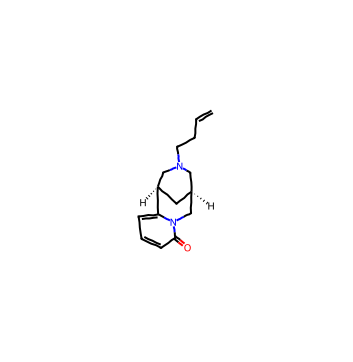 C=CCCN1C[C@@H]2C[C@H](C1)c1cccc(=O)n1C2